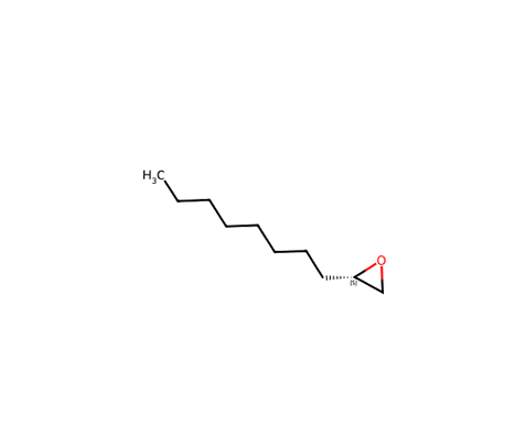 CCCCCCCC[C@H]1CO1